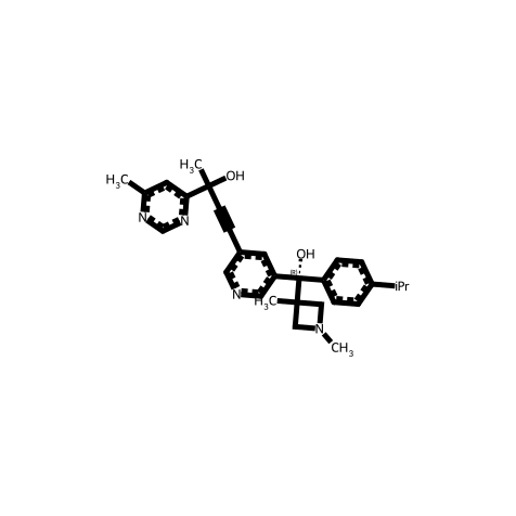 Cc1cc(C(C)(O)C#Cc2cncc([C@@](O)(c3ccc(C(C)C)cc3)C3(C)CN(C)C3)c2)ncn1